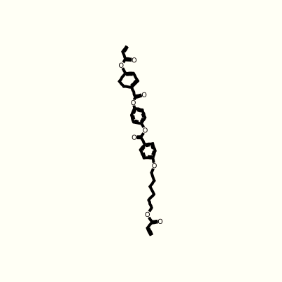 C=CC(=O)OCCCCCCOc1ccc(C(=O)Oc2ccc(OC(=O)C3=CC=C(OC(=O)C=C)CC3)cc2)cc1